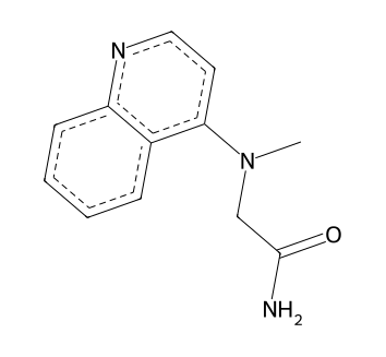 CN(CC(N)=O)c1ccnc2ccccc12